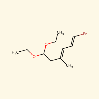 CCOC(CC(C)=CC=CBr)OCC